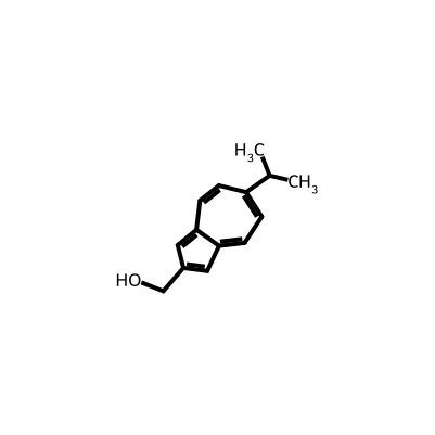 CC(C)c1ccc2cc(CO)cc-2cc1